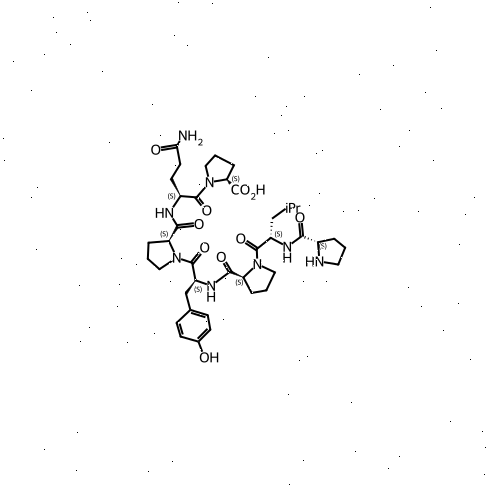 CC(C)C[C@H](NC(=O)[C@@H]1CCCN1)C(=O)N1CCC[C@H]1C(=O)N[C@@H](Cc1ccc(O)cc1)C(=O)N1CCC[C@H]1C(=O)N[C@@H](CCC(N)=O)C(=O)N1CCC[C@H]1C(=O)O